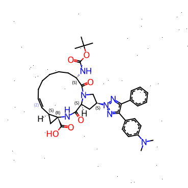 CN(C)c1ccc(-c2nn([C@H]3C[C@H]4C(=O)N[C@]5(C(=O)O)C[C@H]5/C=C\CCCCC[C@H](NC(=O)OC(C)(C)C)C(=O)N4C3)nc2-c2ccccc2)cc1